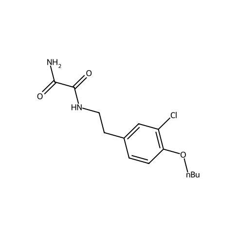 CCCCOc1ccc(CCNC(=O)C(N)=O)cc1Cl